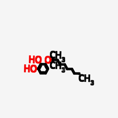 CCCCCCCCC(C)(C)Oc1cccc(O)c1O